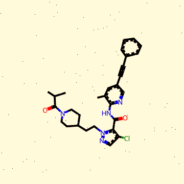 Cc1cc(C#Cc2ccccc2)cnc1NC(=O)c1c(Cl)cnn1CCC1CCN(C(=O)C(C)C)CC1